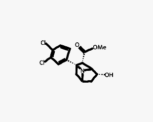 COC(=O)[C@@H]1C2[C@H](O)CC(C[C@@H]1c1ccc(Cl)c(Cl)c1)N2C